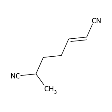 CC(C#N)CC/C=C/C#N